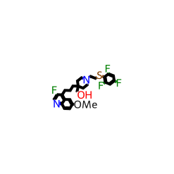 COc1ccc2ncc(F)c(CCCC3(CO)CCN(CCSc4c(F)cc(F)cc4F)CC3)c2c1